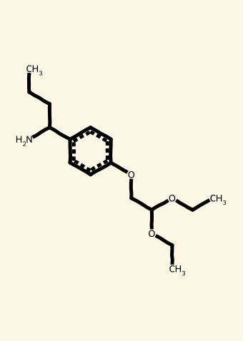 CCCC(N)c1ccc(OCC(OCC)OCC)cc1